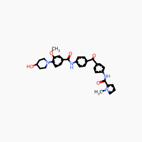 COc1cc(C(=O)Nc2ccc(C(=O)c3ccc(NC(=O)c4cccn4C)cc3)cc2)ccc1N1CCC(O)CC1